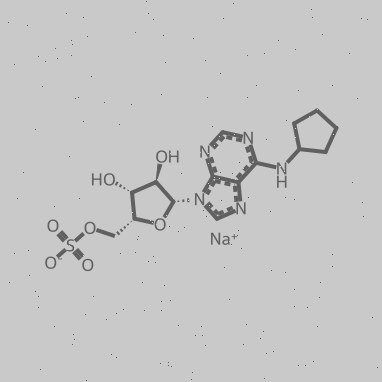 O=S(=O)([O-])OC[C@H]1O[C@@H](n2cnc3c(NC4CCCC4)ncnc32)[C@H](O)[C@H]1O.[Na+]